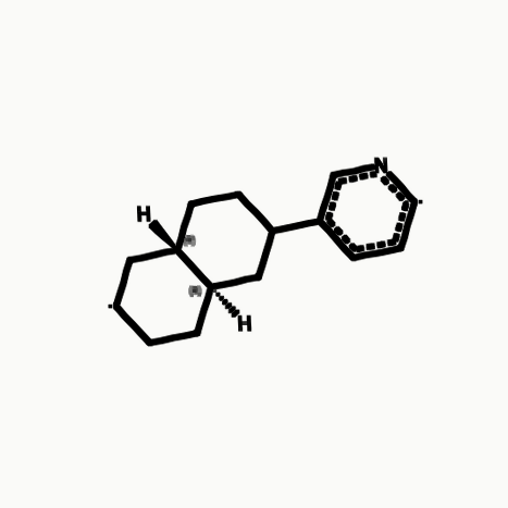 [c]1ccc(C2CC[C@H]3C[CH]CC[C@@H]3C2)cn1